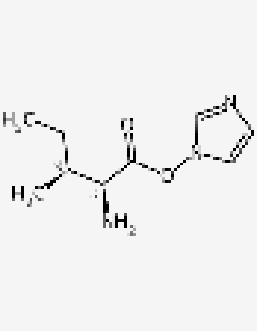 CC[C@H](C)[C@H](N)C(=O)On1ccnc1